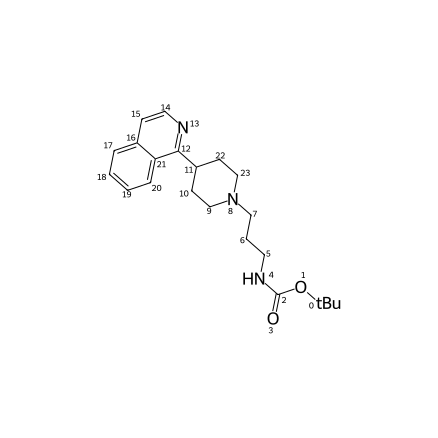 CC(C)(C)OC(=O)NCCCN1CCC(c2nccc3ccccc23)CC1